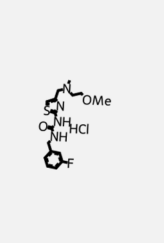 COCCN(C)Cc1csc(NC(=O)NCc2cccc(F)c2)n1.Cl